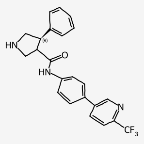 O=C(Nc1ccc(-c2ccc(C(F)(F)F)nc2)cc1)C1CNC[C@H]1c1ccccc1